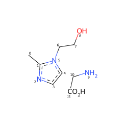 Cc1nccn1CCO.NCC(=O)O